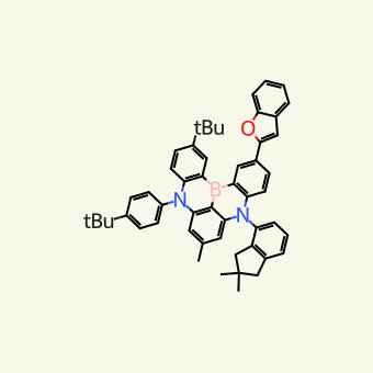 Cc1cc2c3c(c1)N(c1cccc4c1CC(C)(C)C4)c1ccc(-c4cc5ccccc5o4)cc1B3c1cc(C(C)(C)C)ccc1N2c1ccc(C(C)(C)C)cc1